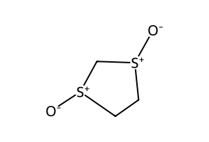 [O-][S+]1CC[S+]([O-])C1